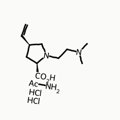 C=C[C@@H]1C[C@H](C(=O)O)N(CCN(C)C)C1.CC(N)=O.Cl.Cl